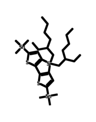 CCCCC(CC)C[Si]1(CC(CC)CCCC)c2c[c]([Sn]([CH3])([CH3])[CH3])sc2-c2s[c]([Sn]([CH3])([CH3])[CH3])cc21